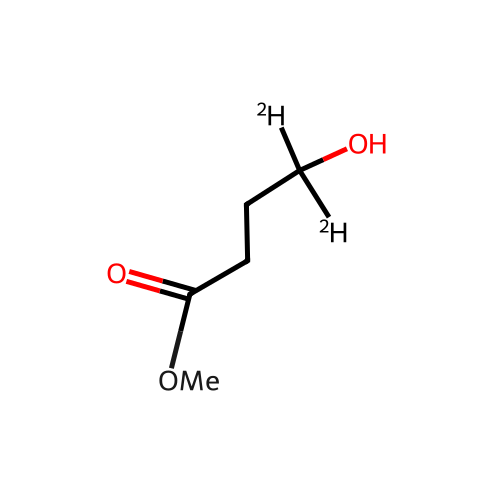 [2H]C([2H])(O)CCC(=O)OC